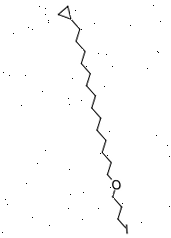 ICCCOCCCCCCCCCCCCCCC1CC1